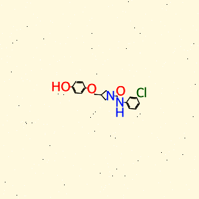 O=C(Nc1cccc(Cl)c1)N1CC(COc2ccc(O)cc2)C1